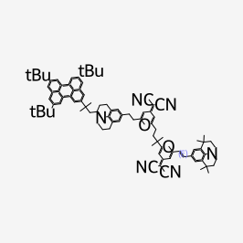 CC(C)(CCC1=CC(=C(C#N)C#N)C=C(CCc2cc3c4c(c2)CCC(CC(C)(C)c2cc5cc(C(C)(C)C)cc6c7cc(C(C)(C)C)cc8cc(C(C)(C)C)cc(c(c2)c56)c87)N4CCC3)O1)C1=CC(=C(C#N)C#N)C=C(/C=C/c2cc3c4c(c2)C(C)(C)CCN4CCC3(C)C)O1